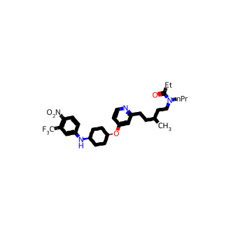 CCCN(CCC(C)CCc1cc(O[C@H]2CC[C@H](Nc3ccc([N+](=O)[O-])c(C(F)(F)F)c3)CC2)ccn1)C(=O)CC